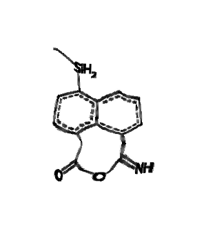 C[SiH2]c1ccc2c3c(cccc13)C(=N)OC2=O